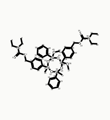 CCN(CC)C(=S)SCc1ccc([Si]2(C)O[Si](C)(c3ccccc3)O[Si](OC)(c3ccc(CSC(=S)N(CC)CC)cc3)O[Si](OC)(c3ccccc3)O2)cc1